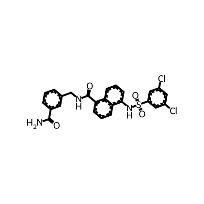 NC(=O)c1cccc(CNC(=O)c2cccc3c(NS(=O)(=O)c4cc(Cl)cc(Cl)c4)cccc23)c1